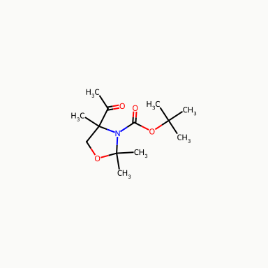 CC(=O)C1(C)COC(C)(C)N1C(=O)OC(C)(C)C